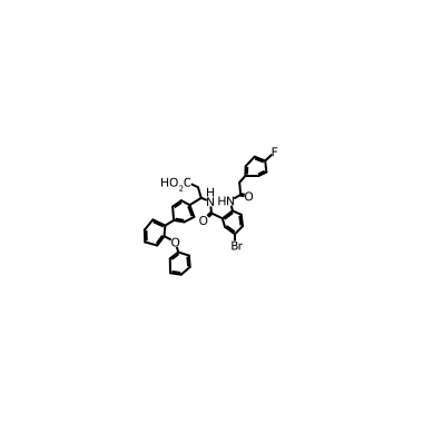 O=C(O)CC(NC(=O)c1cc(Br)ccc1NC(=O)Cc1ccc(F)cc1)c1ccc(-c2ccccc2Oc2ccccc2)cc1